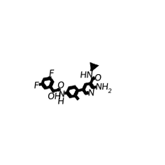 Cc1cc(NC(=O)C(O)c2cc(F)cc(F)c2)ccc1-c1cnc(N)c(C(=O)NC2CC2)c1